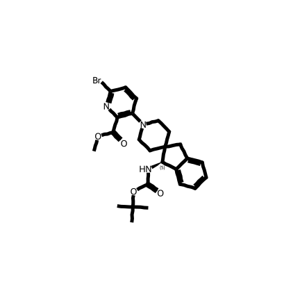 COC(=O)c1nc(Br)ccc1N1CCC2(CC1)Cc1ccccc1[C@H]2NC(=O)OC(C)(C)C